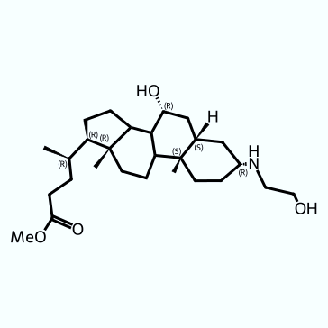 COC(=O)CC[C@@H](C)[C@H]1CCC2C3C(CC[C@@]21C)[C@@]1(C)CC[C@@H](NCCO)C[C@H]1C[C@H]3O